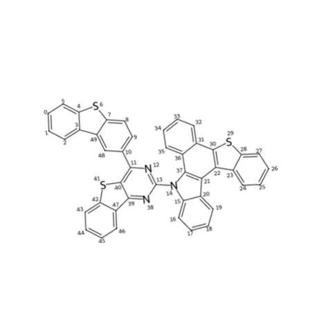 c1ccc2c(c1)sc1ccc(-c3nc(-n4c5ccccc5c5c6c7ccccc7sc6c6ccccc6c54)nc4c3sc3ccccc34)cc12